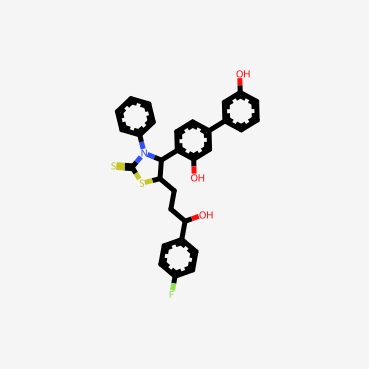 Oc1cccc(-c2ccc(C3C(CCC(O)c4ccc(F)cc4)SC(=S)N3c3ccccc3)c(O)c2)c1